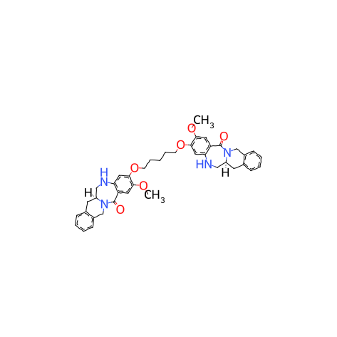 COc1cc2c(cc1OCCCCCOc1cc3c(cc1OC)C(=O)N1Cc4ccccc4C[C@H]1CN3)NC[C@@H]1Cc3ccccc3CN1C2=O